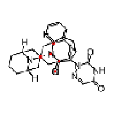 O=c1cnn(-c2nc3ccccc3n([C@H]3C[C@H]4CCC[C@@H](C3)N4[C@@H]3C[C@@H]4CCCC[C@@H](C4)C3)c2=O)c(=O)[nH]1